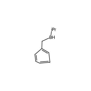 CC(C)BCc1ccccc1